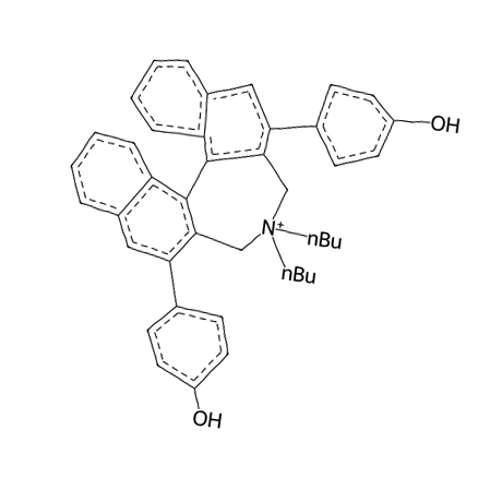 CCCC[N+]1(CCCC)Cc2c(-c3ccc(O)cc3)cc3ccccc3c2-c2c(c(-c3ccc(O)cc3)cc3ccccc23)C1